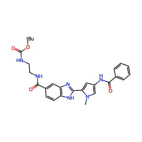 Cn1cc(NC(=O)c2ccccc2)cc1-c1nc2cc(C(=O)NCCNC(=O)OC(C)(C)C)ccc2[nH]1